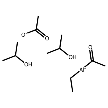 CC(=O)[O-].CC(C)O.CC(C)O.C[CH2][Al+][C](C)=O